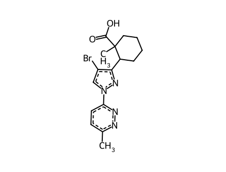 Cc1ccc(-n2cc(Br)c(C3CCCCC3(C)C(=O)O)n2)nn1